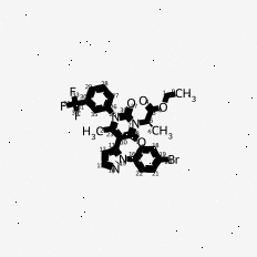 CCOC(=O)[C@H](C)n1c(=O)c(-c2ccnn2-c2ccc(Br)cc2)c(C)n(-c2cccc(C(F)(F)F)c2)c1=O